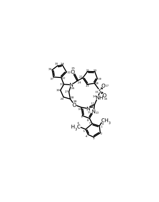 Cc1cccc(C)c1-c1cc2nc(n1)NS(=O)(=O)c1cccc(c1)C(=O)N1CC(CCC1c1ccccc1)O2